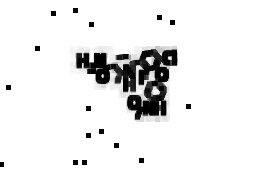 CC[C@@H](N[C@@H](C)CC(N)=O)c1ccc(Cl)c(Oc2ccc(NC(C)=O)cc2)c1F